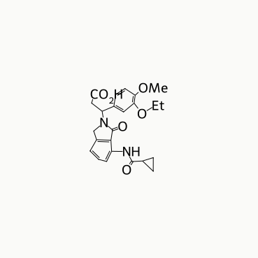 CCOc1cc(C(CC(=O)O)N2Cc3cccc(NC(=O)C4CC4)c3C2=O)ccc1OC